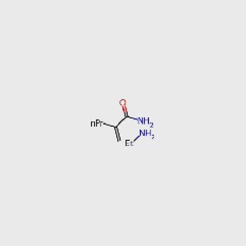 C=C(CCC)C(N)=O.CCN